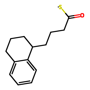 O=C([S])CCCC1CCCc2ccccc21